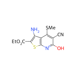 CCOC(=O)c1sc2nc(O)c(C#N)c(SC)c2c1N